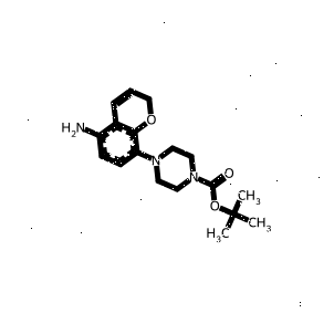 CC(C)(C)OC(=O)N1CCN(c2ccc(N)c3c2OCC=C3)CC1